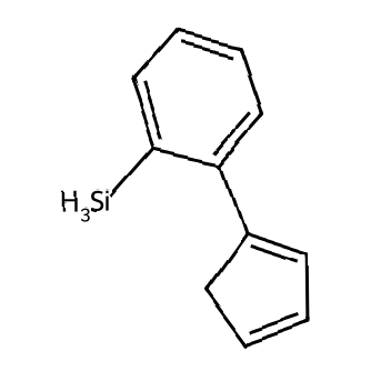 [SiH3]c1ccccc1C1=CC=CC1